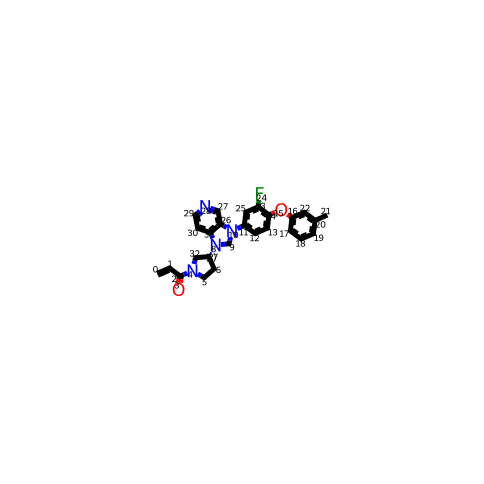 C=CC(=O)N1CC[C@@H](N2CN(c3ccc(Oc4cccc(C)c4)c(F)c3)c3cnccc32)C1